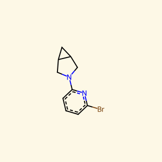 Brc1cccc(N2CC3CC3C2)n1